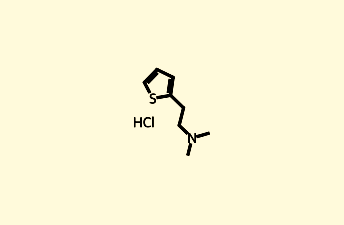 CN(C)CCc1cccs1.Cl